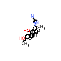 CCC[C@@]1(O)CC[C@@]2(C)[C@H](CC[C@@H]3[C@@H]2[C@@H](O)C[C@]2(C)[C@@H]([C@H](C)Cn4cc(C#N)cn4)CC[C@@H]32)C1